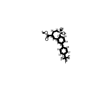 COC(=O)C1=Cc2cc(-c3ccc(C(F)(F)F)cc3)ccc2S(=O)(=O)CC1